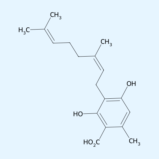 CC(C)=CCCC(C)=CCc1c(O)cc(C)c(C(=O)O)c1O